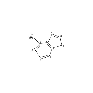 CC(C)c1nccc2c1C=CC2